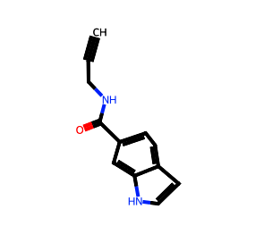 C#CCNC(=O)c1ccc2cc[nH]c2c1